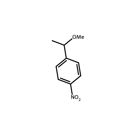 COC(C)c1ccc([N+](=O)[O-])cc1